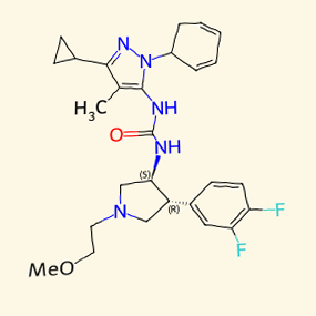 COCCN1C[C@@H](NC(=O)Nc2c(C)c(C3CC3)nn2C2C=CC=CC2)[C@H](c2ccc(F)c(F)c2)C1